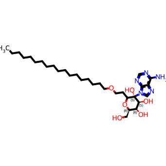 CCCCCCCCCCCCCCCCCCOCC[C]1O[C@H](CO)[C@H](O)[C@H](O)[C@]1(O)n1cnc2c(N)ncnc21